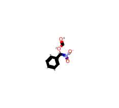 O=[C]O[C@@H](c1ccccc1)[N+](=O)[O-]